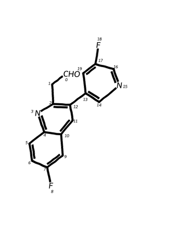 O=CCc1nc2ccc(F)cc2cc1-c1cncc(F)c1